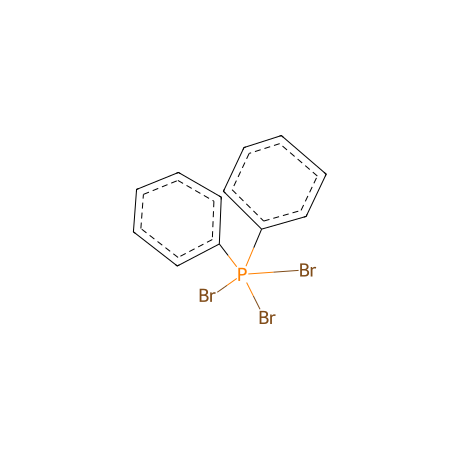 BrP(Br)(Br)(c1ccccc1)c1ccccc1